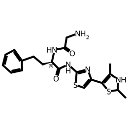 CC1=C(c2csc(NC(=O)[C@@H](CCc3ccccc3)NC(=O)CN)n2)SC(C)N1